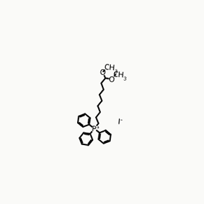 COC(CCCCCCCC[P+](c1ccccc1)(c1ccccc1)c1ccccc1)OC.[I-]